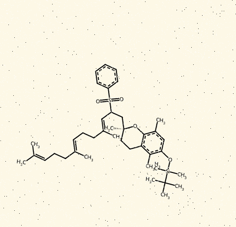 CC(C)=CCC/C(C)=C/CC/C(C)=C/C(C[C@]1(C)CCc2c(C)c(O[Si](C)(C)C(C)(C)C)cc(C)c2O1)S(=O)(=O)c1ccccc1